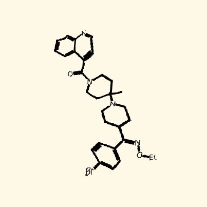 CCO/N=C(\c1ccc(Br)cc1)C1CCN(C2(C)CCN(C(=O)c3ccnc4ccccc34)CC2)CC1